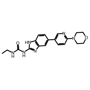 CCNC(=O)Nc1nc2cc(-c3ccc(N4CCOCC4)nc3)ccc2[nH]1